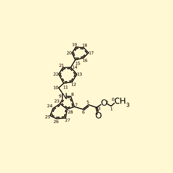 CCOC(=O)C=Cc1cn(Cc2ccc(-c3ccccc3)cc2)c2ccccc12